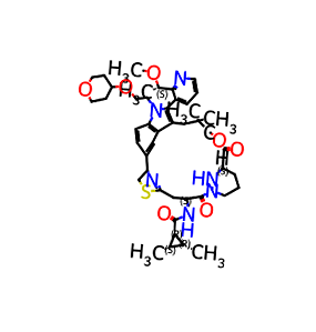 CO[C@@H](C)c1ncccc1-c1c2c3cc(ccc3n1CCOC1CCOCC1)C1CSC(=N1)C[C@H](NC(=O)[C@H]1[C@H](C)[C@@H]1C)C(=O)N1CCC[C@H](N1)C(=O)OCC(C)(C)C2